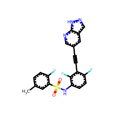 Cc1ccc(F)c(S(=O)(=O)Nc2ccc(F)c(C#Cc3cnc4[nH]ncc4c3)c2F)c1